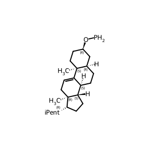 CCC[C@@H](C)C1CC[C@H]2[C@@H]3CC[C@@H]4C[C@H](OP)CC[C@]4(C)C3=CC[C@]12C